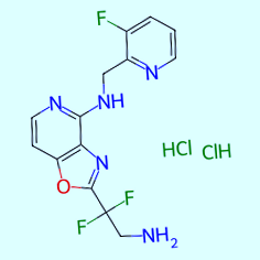 Cl.Cl.NCC(F)(F)c1nc2c(NCc3ncccc3F)nccc2o1